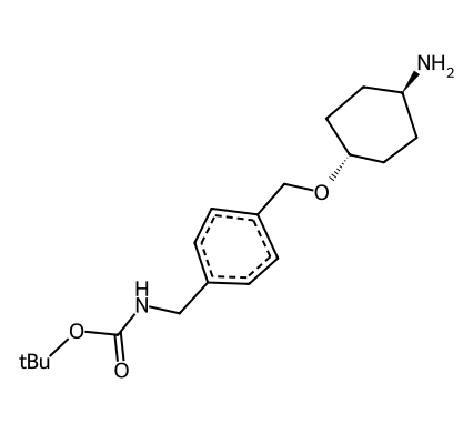 CC(C)(C)OC(=O)NCc1ccc(CO[C@H]2CC[C@H](N)CC2)cc1